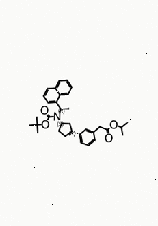 CC(C)OC(=O)Cc1cccc([C@@H]2CC[C@H](N(C(=O)OC(C)(C)C)[C@H](C)c3cccc4ccccc34)C2)c1